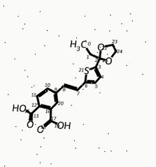 CCC1(c2ccc(C=Cc3ccc(C(=O)O)c(C(=O)O)c3)s2)OCCO1